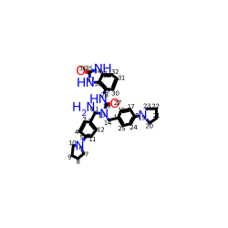 NC(c1ccc(N2CCCC2)cc1)N(Cc1ccc(N2CCCC2)cc1)C(=O)Nc1cccc2[nH]c(=O)[nH]c12